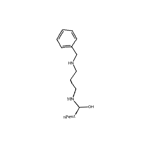 CCCCCC(O)NCCCNCc1ccccc1